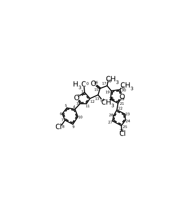 Cc1oc(-c2ccc(Cl)cc2)cc1C(C)C(=O)C(C)c1cc(-c2ccc(Cl)cc2)oc1C